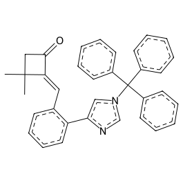 CC1(C)CC(=O)/C1=C/c1ccccc1-c1cn(C(c2ccccc2)(c2ccccc2)c2ccccc2)cn1